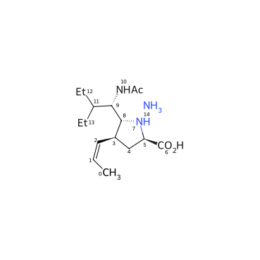 C/C=C\[C@@H]1C[C@H](C(=O)O)N[C@H]1[C@@H](NC(C)=O)C(CC)CC.N